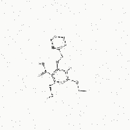 Cc1c(OSI)cc(OSI)c(C(=O)O)c1OCc1ccccn1